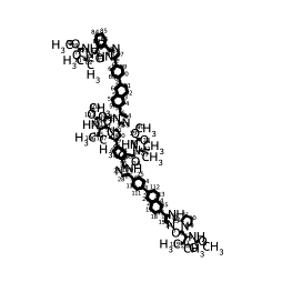 COC(=O)N[C@H](C(=O)N1CCC[C@H]1c1ncc(-c2ccc3cc(-c4ccc(-c5cnc(-c6c(C(=O)N(NC(=O)OC)C(C)C)c7oc6cc7C6C[C@@H](c7ncc(-c8ccc9cc(-c%10ccc(-c%11cnc(-c%12c(C(=O)N(NC(=O)OC)C(C)C)c%13ccc%12o%13)[nH]%11)cc%10)ccc9c8)[nH]7)N(C(=O)[C@@H](NC(=O)OC)C(C)C)C6)[nH]5)cc4)ccc3c2)[nH]1)C(C)C